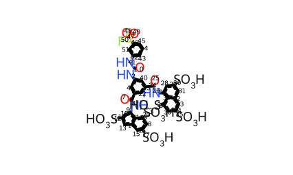 O=C(Nc1cc(C(=O)Nc2cc(S(=O)(=O)O)cc3cc(S(=O)(=O)O)cc(S(=O)(=O)O)c23)cc(C(=O)Nc2cc(S(=O)(=O)O)cc3cc(S(=O)(=O)O)cc(S(=O)(=O)O)c23)c1)Nc1cccc(S(=O)(=O)F)c1